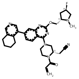 C=CC(=O)N1CCN(c2nc(OC[C@@H]3C[C@@H](F)CN3C)nc3cc(-c4cncc5c4CCCC5)ccc23)C[C@@H]1CC#N